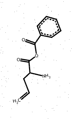 C=CCC(N)C(=O)OC(=O)c1ccccc1